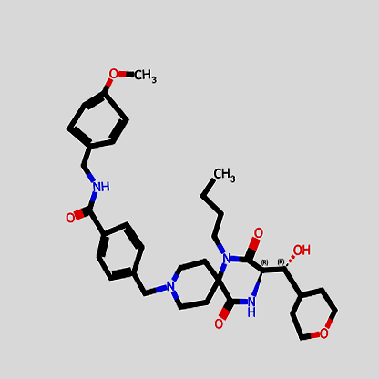 CCCCN1C(=O)[C@@H]([C@H](O)C2CCOCC2)NC(=O)C12CCN(Cc1ccc(C(=O)NCc3ccc(OC)cc3)cc1)CC2